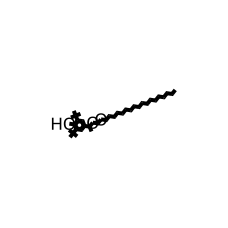 CCCCCCCCCCCCCCCCCCOCOC(C)c1cc(C(C)(C)C)c(O)c(C(C)(C)C)c1